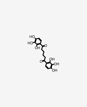 O=C(CCCCC(=O)c1ccc(O)c(O)c1O)c1ccc(O)c(O)c1O